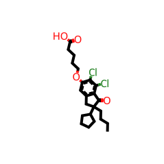 CCCCC1(C2CCCC2)Cc2cc(OCCCCC(=O)O)c(Cl)c(Cl)c2C1=O